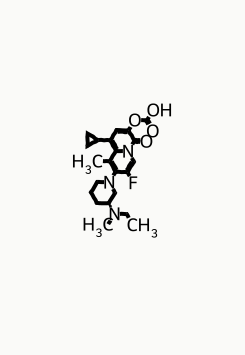 CCN(C)[C@H]1CCCN(c2c(F)cn3c(=O)c(OC(=O)O)cc(C4CC4)c3c2C)C1